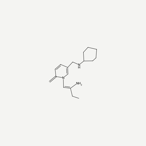 C=C1C=CC(CNC2CCCCC2)=CN1/C=C(\N)CC